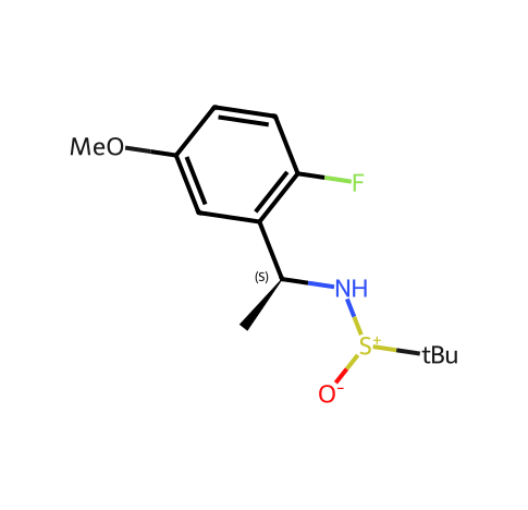 COc1ccc(F)c([C@H](C)N[S+]([O-])C(C)(C)C)c1